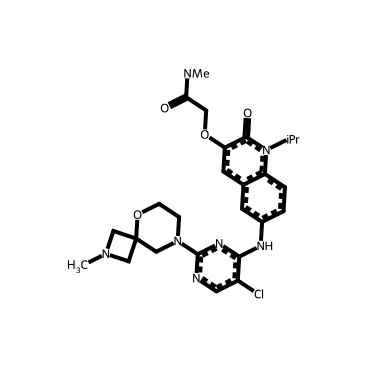 CNC(=O)COc1cc2cc(Nc3nc(N4CCOC5(CN(C)C5)C4)ncc3Cl)ccc2n(C(C)C)c1=O